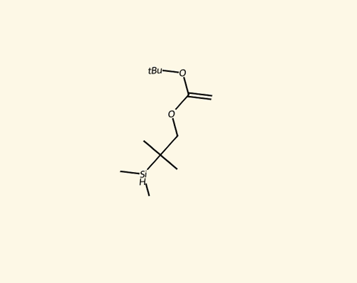 C=C(OCC(C)(C)[SiH](C)C)OC(C)(C)C